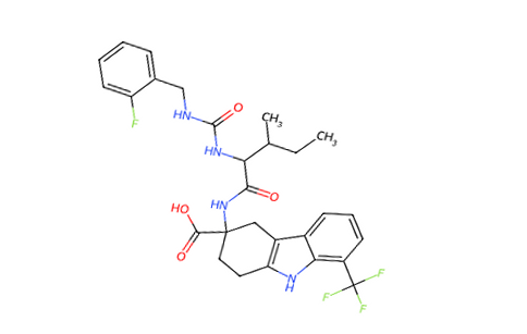 CCC(C)C(NC(=O)NCc1ccccc1F)C(=O)NC1(C(=O)O)CCc2[nH]c3c(C(F)(F)F)cccc3c2C1